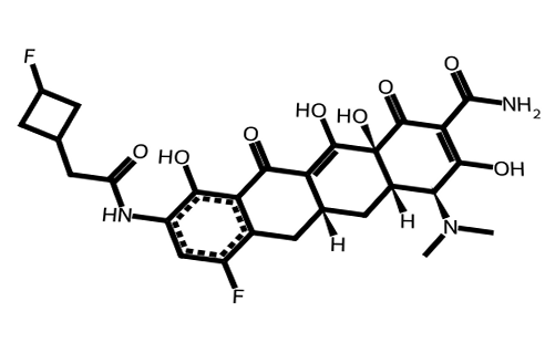 CN(C)[C@@H]1C(O)=C(C(N)=O)C(=O)[C@@]2(O)C(O)=C3C(=O)c4c(O)c(NC(=O)CC5CC(F)C5)cc(F)c4C[C@H]3C[C@@H]12